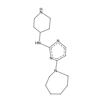 c1cc(N2CCCCCC2)nc(NC2CCNCC2)n1